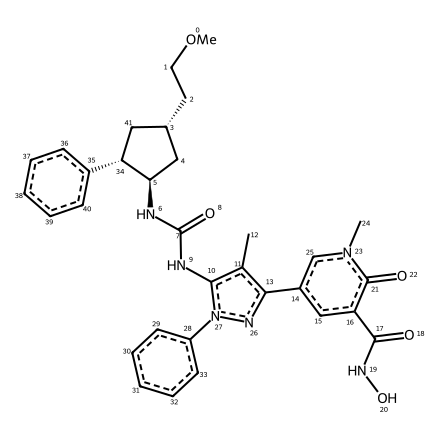 COCC[C@@H]1C[C@@H](NC(=O)Nc2c(C)c(-c3cc(C(=O)NO)c(=O)n(C)c3)nn2-c2ccccc2)[C@H](c2ccccc2)C1